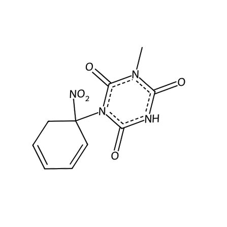 Cn1c(=O)[nH]c(=O)n(C2([N+](=O)[O-])C=CC=CC2)c1=O